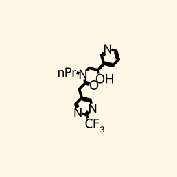 CCCN(CC(O)c1cccnc1)C(=O)Cc1cnc(C(F)(F)F)nc1